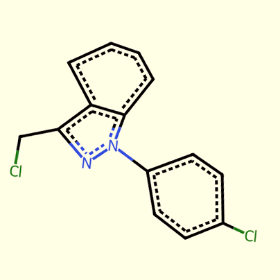 ClCc1nn(-c2ccc(Cl)cc2)c2ccccc12